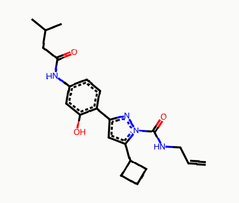 C=CCNC(=O)n1nc(-c2ccc(NC(=O)CC(C)C)cc2O)cc1C1CCC1